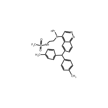 CCCN(CCNS(=O)(=O)C(F)(F)F)c1cnnc2ccc(C(c3ccc(C)cc3)c3ccc(C)cc3)cc12